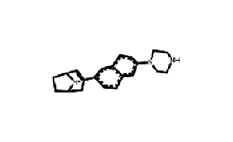 CN1C2C=C(c3ccc4cc(N5CCNCC5)ccc4c3)CC1CC2